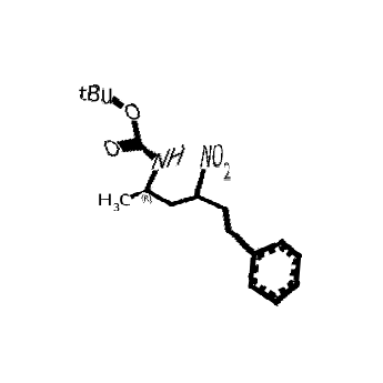 C[C@H](CC(CCc1ccccc1)[N+](=O)[O-])NC(=O)OC(C)(C)C